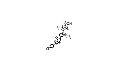 COc1cc(-n2cnc3cc(-c4ccc(Cl)cc4)sc3c2=O)ccc1OCC(C)(C)OC(=O)C(=O)O